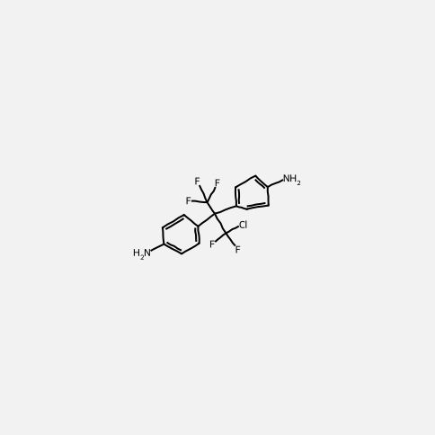 Nc1ccc(C(c2ccc(N)cc2)(C(F)(F)F)C(F)(F)Cl)cc1